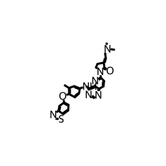 Cc1cc(Nc2ncnc3ccc(N4CC/C(=C\CN(C)C)C4=O)nc23)ccc1Oc1ccc2scnc2c1